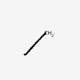 [C]#CCCCCCCCCCCCCCCCCCCCCCCCCCC[CH2]